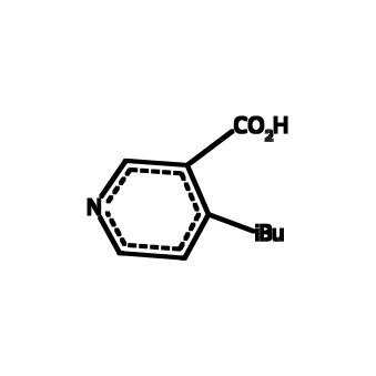 CCC(C)c1ccncc1C(=O)O